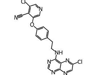 N#Cc1c(Cl)cncc1Oc1ccc(CCNc2ncnc3ncc(Cl)nc23)cc1